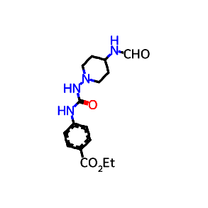 CCOC(=O)c1ccc(NC(=O)NN2CCC(NC=O)CC2)cc1